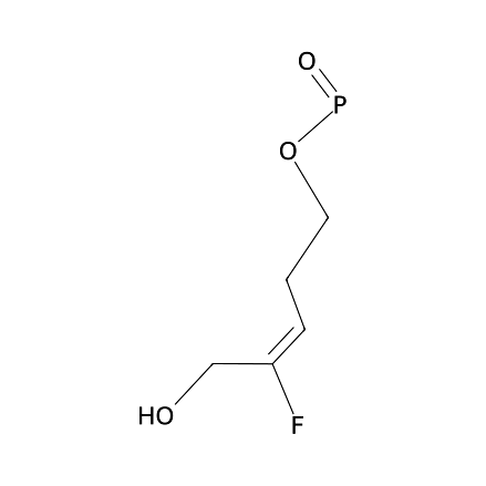 O=POCC/C=C(/F)CO